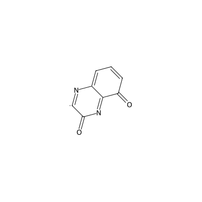 O=C1[C]=NC2=CC=CC(=O)C2=N1